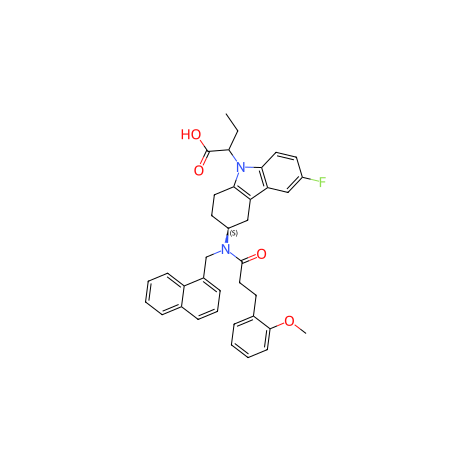 CCC(C(=O)O)n1c2c(c3cc(F)ccc31)C[C@@H](N(Cc1cccc3ccccc13)C(=O)CCc1ccccc1OC)CC2